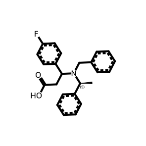 C[C@@H](c1ccccc1)N(Cc1ccccc1)C(CC(=O)O)c1ccc(F)cc1